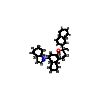 CC1(c2ccc3ccccc3c2)C=Cc2c(cc(N3CCc4ccccc43)c3ccccc23)O1